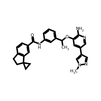 CC(Oc1cc(-c2cnn(C)c2)cnc1N)c1cccc(NC(=O)c2ccc3c(c2)C2(CC3)CC2)c1